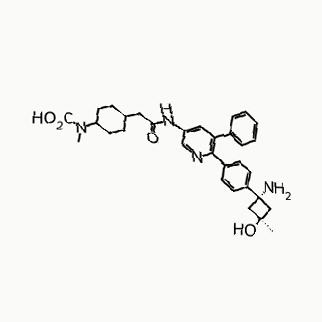 CN(C(=O)O)C1CCC(CC(=O)Nc2cnc(-c3ccc([C@]4(N)C[C@](C)(O)C4)cc3)c(-c3ccccc3)c2)CC1